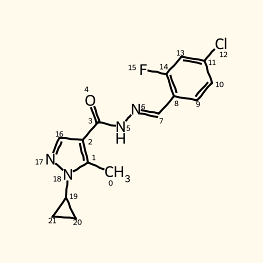 Cc1c(C(=O)NN=Cc2ccc(Cl)cc2F)cnn1C1CC1